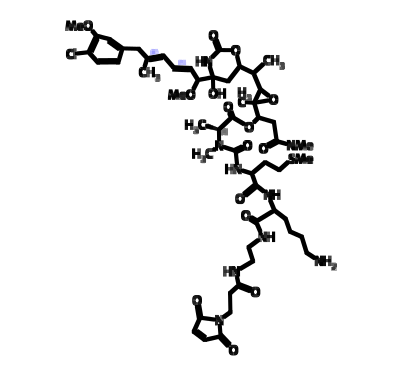 CNC(=O)CC(OC(=O)[C@H](C)N(C)C(=O)NC(CCSC)C(=O)NC(CCCCN)C(=O)NCCNC(=O)CCN1C(=O)C=CC1=O)C1(C)OC1C(C)C1CC(O)(C(/C=C/C=C(\C)Cc2ccc(Cl)c(OC)c2)OC)NC(=O)O1